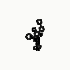 Fc1c(-c2cccc(-c3ccccc3)c2)c(Cl)cc2c(N3CCCCCC3)nc(OCC34CCCN3CCC4)nc12